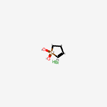 Br.O=S1(=O)C=CCC1